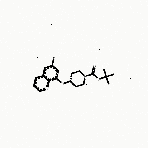 CC(C)(C)OC(=O)N1CCC(Oc2cc(F)cc3cccnc23)CC1